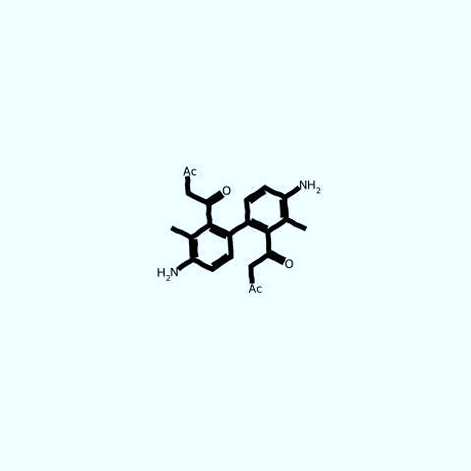 CC(=O)CC(=O)c1c(-c2ccc(N)c(C)c2C(=O)CC(C)=O)ccc(N)c1C